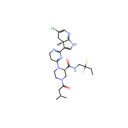 CCC(F)(F)CNC(=O)[C@H]1CN(C(=O)CC(C)C)CCN1C1=NC(C2=CNC3=NC=C(Cl)C[C@@H]23)=NCC1